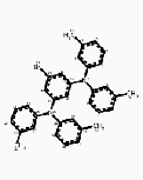 Cc1cccc(N(c2cccc(C)c2)c2cc(Br)cc(N(c3cccc(C)c3)c3cccc(C)c3)c2)c1